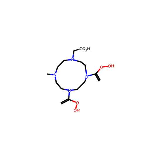 C=C(OO)N1CCN(C)CCN(CC(=O)O)CCN(C(=C)OO)CC1